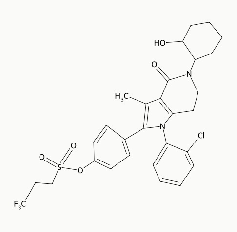 Cc1c2c(n(-c3ccccc3Cl)c1-c1ccc(OS(=O)(=O)CCC(F)(F)F)cc1)CCN(C1CCCCC1O)C2=O